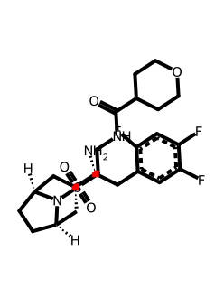 N[C@H](Cc1cc(F)c(F)cc1F)[C@@H]1C[C@H]2CC[C@@H](C1)N2S(=O)(=O)CCNC(=O)C1CCOCC1